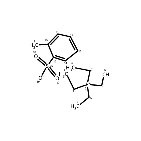 CC[P+](CC)(CC)CC.Cc1ccccc1S(=O)(=O)[O-]